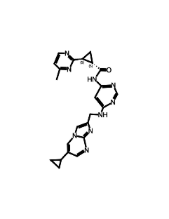 Cc1ccnc([C@H]2C[C@@H]2C(=O)Nc2cc(NCc3cn4cc(C5CC5)cnc4n3)ncn2)n1